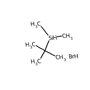 Br.C[SiH](C)C(C)(C)C